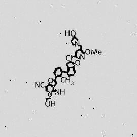 COc1nc(O[C@H]2CCc3c(-c4cccc(-c5cc6c(=N)n(CCO)cc(C#N)c6o5)c4C)cccc32)c(Cl)cc1CN1CC[C@@H](O)C1